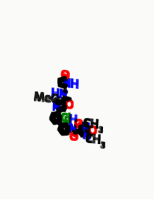 COc1nc(-c2cccc(-c3cccc(NC(=O)c4cn(C)c(=O)n(C)c4=O)c3F)c2Cl)cc2c1[C@@H](NC[C@@H]1CCC(=O)N1)CO2